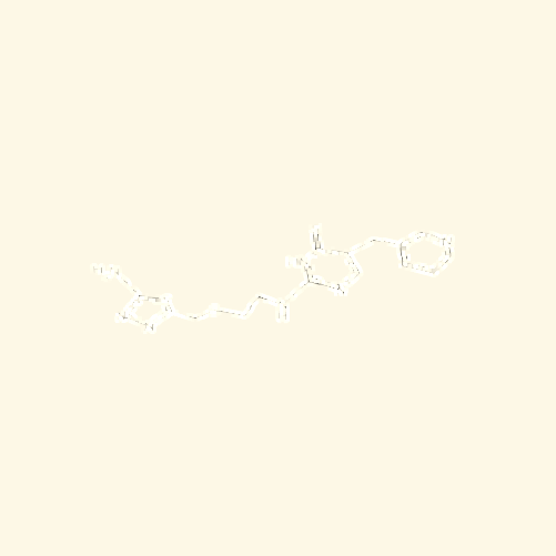 Nc1nnc(CSCCNc2ncc(Cc3cccnc3)c(=S)[nH]2)s1